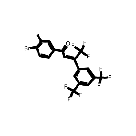 Cc1cc(C(=O)C=C(c2cc(C(F)(F)F)cc(C(F)(F)F)c2)C(F)(F)F)ccc1Br